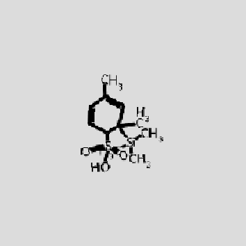 CC1=CC(C)([Si](C)(C)C)C(S(=O)(=O)O)C=C1